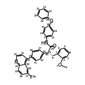 COc1ccccc1C[C@@H](C(=O)Nc1ccc(Oc2ccccc2)cc1)c1ccc(-c2ccnc3ccc(F)cc23)cc1